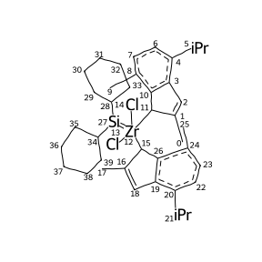 CC1=Cc2c(C(C)C)ccc(C)c2[CH]1[Zr]([Cl])([Cl])([CH]1C(C)=Cc2c(C(C)C)ccc(C)c21)=[Si](C1CCCCC1)C1CCCCC1